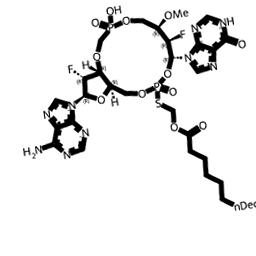 CCCCCCCCCCCCCCCC(=O)OCSP1(=O)OC[C@H]2O[C@@H](n3cnc4c(N)ncnc43)[C@H](F)[C@@H]2OCP(=O)(O)OC[C@@H](OC)[C@@H](F)[C@H](n2cnc3c(=O)[nH]cnc32)O1